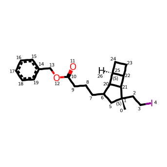 C[C@@]1(CCI)CC(CCCC(=O)OCc2ccccc2)C2C1C1CC[C@@H]12